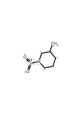 CC1CCCN([SH](=O)=O)C1